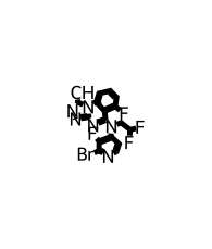 Cc1nnc2nc(N(CC(F)F)c3ccnc(Br)c3F)c3c(F)cccc3n12